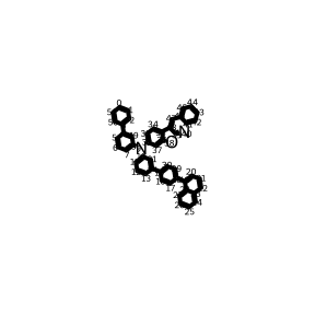 c1ccc(-c2cccc(N(c3cccc(-c4ccc(-c5cccc6ccccc56)cc4)c3)c3ccc4c(c3)oc3nc5ccccc5cc34)c2)cc1